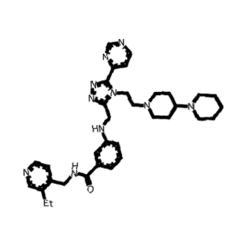 CCc1cnccc1CNC(=O)c1cccc(NCc2nnc(-c3ccncn3)n2CCN2CCC(N3CCCCC3)CC2)c1